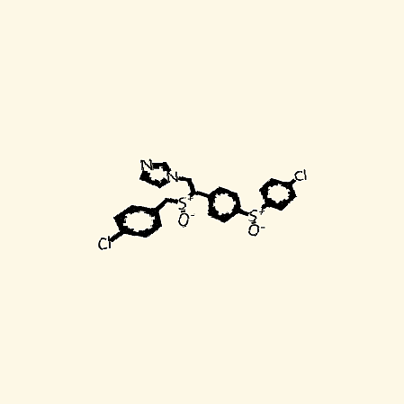 [O-][S+](c1ccc(Cl)cc1)c1ccc(C(Cn2ccnc2)[S+]([O-])Cc2ccc(Cl)cc2)cc1